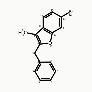 Cc1c(Cc2ccccc2)oc2cc(Br)ccc12